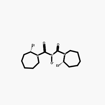 CC[C@H]1CCCCCN1C(=O)[S+]([O-])C(=O)N1CCCCC[C@@H]1CC